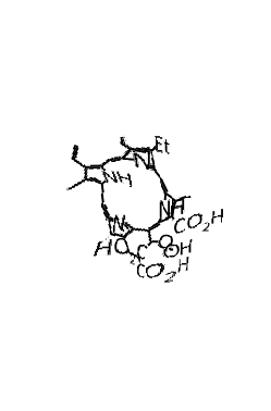 C=Cc1c(C)c2cc3nc(c(C(OO)C(=O)O)c4[nH]c(cc5nc(cc1[nH]2)C(C)=C5CC)c(C)c4C(=O)O)[C@@H](CCC(=O)O)[C@@H]3C